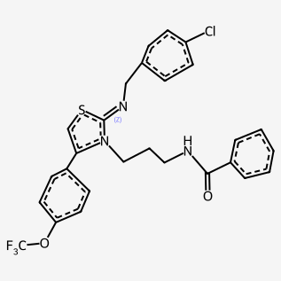 O=C(NCCCn1c(-c2ccc(OC(F)(F)F)cc2)cs/c1=N\Cc1ccc(Cl)cc1)c1ccccc1